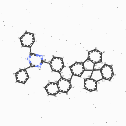 c1ccc(-c2nc(-c3ccccc3)nc(-c3cccc(-c4c(-c5ccc6c(c5)C5(c7ccccc7-c7ccccc75)c5ccccc5-6)ccc5ccccc45)c3)n2)cc1